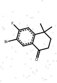 CC1(C)CCC(=O)c2cc(Br)c(F)cc21